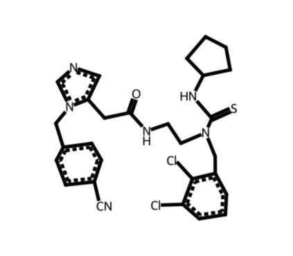 N#Cc1ccc(Cn2cncc2CC(=O)NCCN(Cc2cccc(Cl)c2Cl)C(=S)NC2CCCC2)cc1